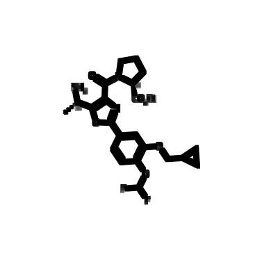 CCOC(=O)[C@@H]1CCCN1C(=O)c1nc(-c2ccc(OC(F)F)c(OCC3CC3)c2)oc1[C@H](C)N